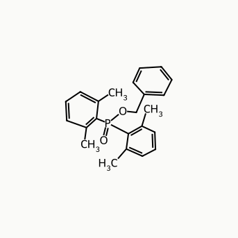 Cc1cccc(C)c1P(=O)(OCc1ccccc1)c1c(C)cccc1C